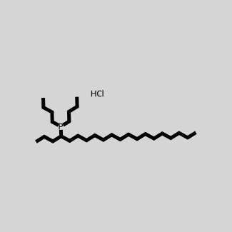 CCCCCCCCCCCCCCCCC(CCC)P(CCCC)CCCC.Cl